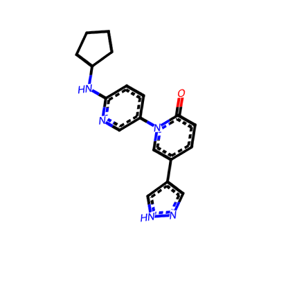 O=c1ccc(-c2cn[nH]c2)cn1-c1ccc(NC2CCCC2)nc1